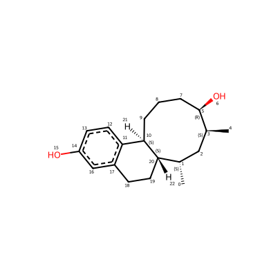 C[C@H]1C[C@H](C)[C@H](O)CCC[C@@H]2c3ccc(O)cc3CC[C@H]21